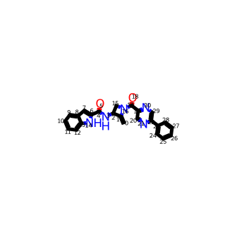 C=C1C(NC(=O)c2cc3ccccc3[nH]2)CN1C(=O)c1cnc(-c2ccccc2)cn1